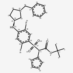 CC(C)(C)OC(=O)N(c1cscn1)S(=O)(=O)c1cc(F)c(N[C@H]2CCN(Cc3ccccc3)C2)cc1F